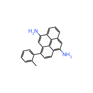 Cc1ccccc1-c1ccc2c(N)cc3cccc4c(N)cc1c2c34